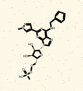 Cn1cc(-c2nc(NCc3ccccc3)c3ncn([C@@H]4O[C@H](COOP(C)(=O)O)[C@@H](O)[C@H]4O)c3n2)cn1